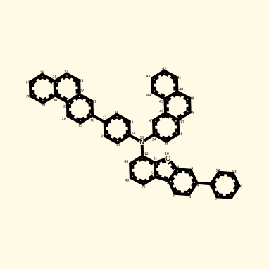 c1ccc(-c2ccc3c(c2)oc2c(N(c4ccc(-c5ccc6c(ccc7ccccc76)c5)cc4)c4ccc5ccc6ccccc6c5c4)cccc23)cc1